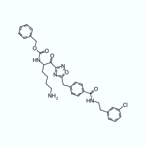 NCCCCC(NC(=O)OCc1ccccc1)C(=O)c1noc(Cc2ccc(C(=O)NCCc3cccc(Cl)c3)cc2)n1